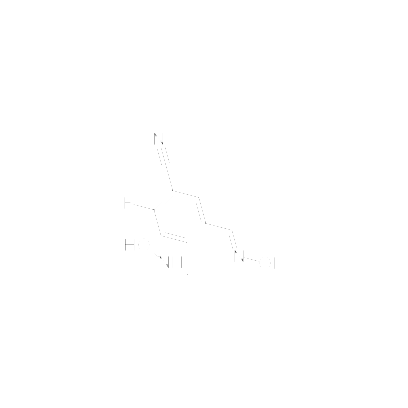 N#Cc1cc(C=NO)ccc1F.NO